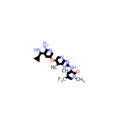 Cn1cc(C(F)(F)F)cc(Nc2nc3ncc(Oc4cnc(N)c(C(=N)C5CC5)c4)c(C#N)c3n2C)c1=O